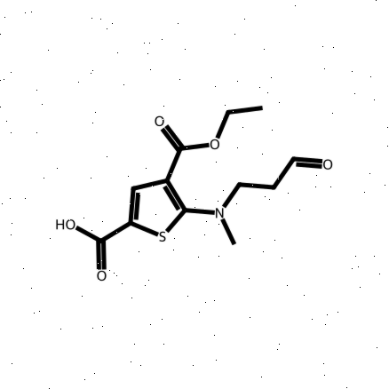 CCOC(=O)c1cc(C(=O)O)sc1N(C)CCC=O